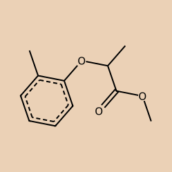 COC(=O)C(C)Oc1ccccc1C